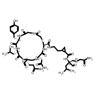 CC(C)C[C@@H]1NC(=O)[C@H](Cc2ccc(O)cc2)NC(=O)CNC(=O)CC[C@@H](C(=O)NCCC2CC2C(=O)N[C@@](C=O)(CNCC(N)=O)CC(C)C)NC(=O)[C@H](CC(N)=O)NC[C@](C=O)(CCC(N)=O)NC1=O